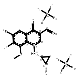 COc1c(F)c(F)cc2c(=O)c(C=O)cn(N[C@@H]3C[C@@H]3F)c12.F[B-](F)(F)F.F[B-](F)(F)F